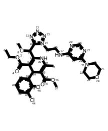 CCOC(=O)C1=C(C(OC)c2nnnn2CCNc2cc(N3CCOCC3)ncn2)NC(C)=C(C(=O)OC)C1c1cccc(Cl)c1Cl